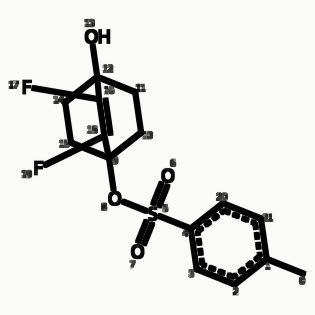 Cc1ccc(S(=O)(=O)OC23CCC(O)(CC2)C(F)=C3F)cc1